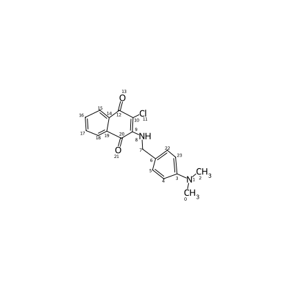 CN(C)c1ccc(CNC2=C(Cl)C(=O)c3ccccc3C2=O)cc1